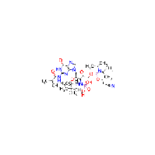 CC(C)C(=O)Nc1nc2c(ncn2[C@@H]2O[C@H](COP(OCCC#N)N(C(C)C)C(C)C)[C@@H](NP(=O)(O)O)[C@H]2O[Si](C)(C)C(C)(C)C)c(=O)[nH]1